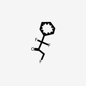 O=C(CF)C(F)(F)c1ccccc1